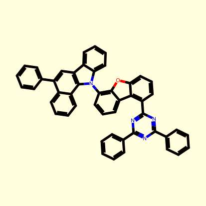 c1ccc(-c2nc(-c3ccccc3)nc(-c3cccc4oc5c(-n6c7ccccc7c7cc(-c8ccccc8)c8ccccc8c76)cccc5c34)n2)cc1